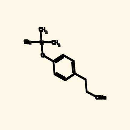 COCCc1ccc(O[Si](C)(C)C(C)(C)C)cc1